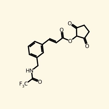 O=C(/C=C/c1cccc(CNC(=O)C(F)(F)F)c1)OC1C(=O)CCC1=O